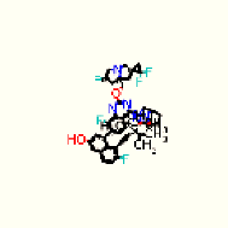 CC(C)[Si](C#Cc1c(F)ccc2cc(O)cc(-c3ccc4c(N5CC6CCC(C5)N6)nc(OC[C@@]56C[C@@H](F)CN5C[C@]5(CC5(F)F)C6)nc4c3F)c12)(C(C)C)C(C)C